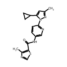 Cc1cc(C2CC2)n(-c2ccc(NC(=O)c3scnc3C)cn2)n1